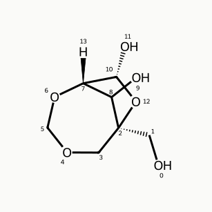 OC[C@]12COCO[C@@H](C1O)[C@H](O)O2